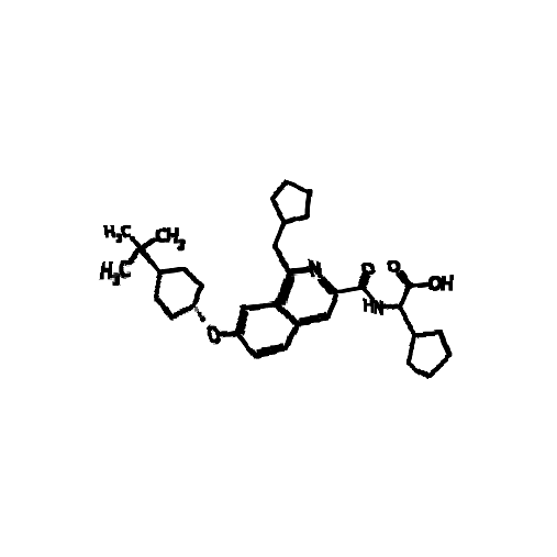 CC(C)(C)[C@H]1CC[C@H](Oc2ccc3cc(C(=O)NC(C(=O)O)C4CCCC4)nc(CC4CCCC4)c3c2)CC1